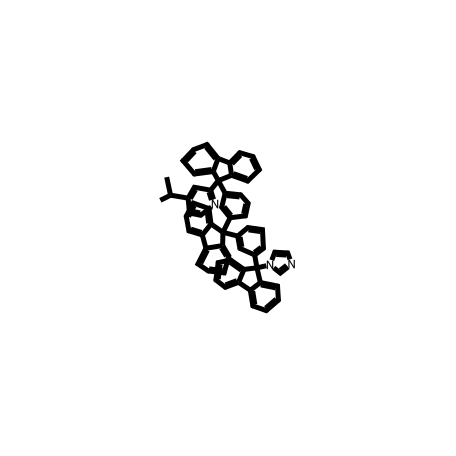 CC(C)c1ccnc(C2(c3cccc(C4(c5cccc(C6(n7ccnc7)c7ccccc7-c7ccccc76)c5)c5ccccc5-c5ccccc54)c3)c3ccccc3-c3ccccc32)c1